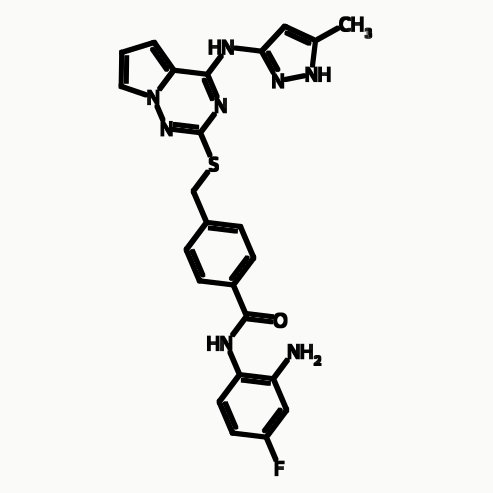 Cc1cc(Nc2nc(SCc3ccc(C(=O)Nc4ccc(F)cc4N)cc3)nn3cccc23)n[nH]1